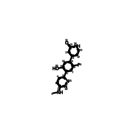 CNc1ccc(-c2cc(F)c(-c3cc[nH]c(=O)c3)cc2O)nn1